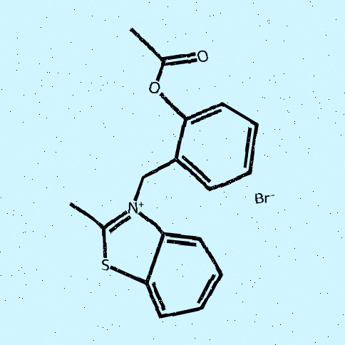 CC(=O)Oc1ccccc1C[n+]1c(C)sc2ccccc21.[Br-]